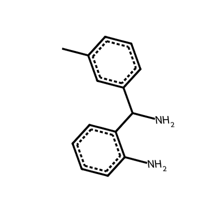 Cc1cccc(C(N)c2ccccc2N)c1